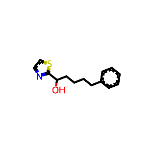 OC(CCCCc1ccccc1)c1nccs1